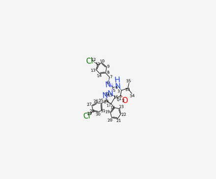 CC(=O)C(N/C(=N\Cc1ccc(Cl)cc1)N1CC(c2ccccc2)C(c2ccc(Cl)cc2)=N1)C(C)C